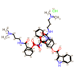 CN(C)CCCNC(=O)C1C2CCC(C(OC(=O)c3c[nH]c4ccccc34)C2)C1C(=O)NC(=O)C1C2CCC(CC2OC(=O)c2c[nH]c3ccccc23)C1C(=O)NCCCN(C)C.Cl